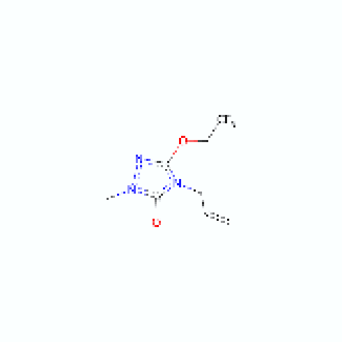 C=CCn1c(OCC(F)(F)F)nn(C)c1=O